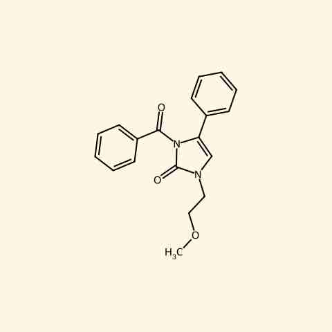 COCCn1cc(-c2ccccc2)n(C(=O)c2ccccc2)c1=O